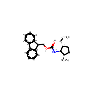 CO[C@H]1CC[C@@H](CC(=O)O)[C@@H]1NC(=O)OCC1c2ccccc2-c2ccccc21